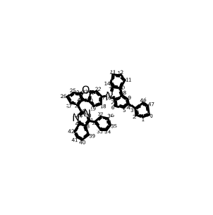 c1ccc(-c2ccc3c(c2)c2ccccc2n3-c2ccc3c(c2)oc2cccc(-c4nc(-c5ccccc5)c5ccccc5n4)c23)cc1